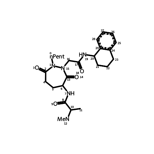 CCCCCN1C(=O)CCC(NC(=O)C(C)NC)C(=O)N1CC(=O)NC1CCCc2ccccc21